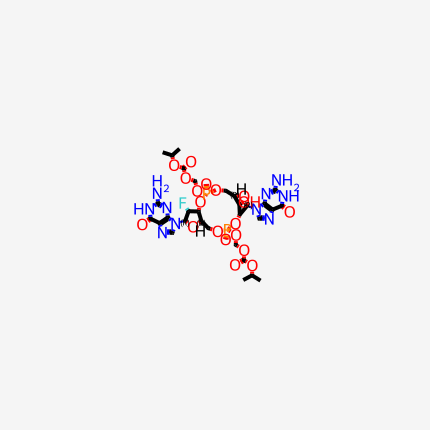 CC(C)OC(=O)OCOP1(=O)OC[C@H]2O[C@@H](n3cnc4c(=O)[nH]c(N)nc43)C(F)C2OP(=O)(OCOC(=O)OC(C)C)OC[C@H]2O[C@@H](n3cnc4c(=O)[nH]c(N)nc43)C(O1)C2O